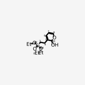 CCO[Si](CCC1=CC=COC1O)(OCC)OCC